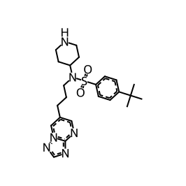 CC(C)(C)c1ccc(S(=O)(=O)N(CCCc2cnc3ncnn3c2)C2CCNCC2)cc1